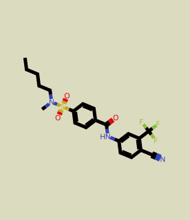 CCCCCN(C)S(=O)(=O)c1ccc(C(=O)Nc2ccc(C#N)c(C(F)(F)F)c2)cc1